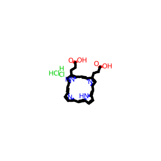 Cl.Cl.O=C(O)CCC1=Cc2cc3ccc(cc4nc(cc5cc(CCC(=O)O)c(cc1n2)[nH]5)C=C4)[nH]3